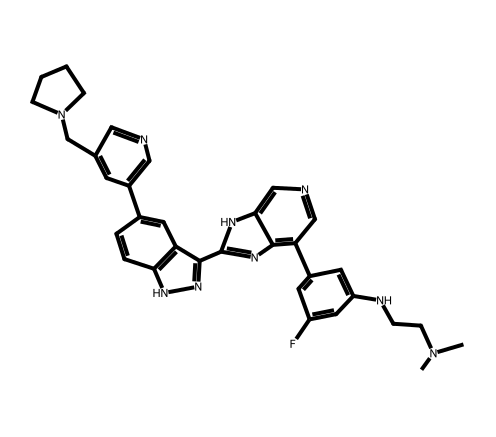 CN(C)CCNc1cc(F)cc(-c2cncc3[nH]c(-c4n[nH]c5ccc(-c6cncc(CN7CCCC7)c6)cc45)nc23)c1